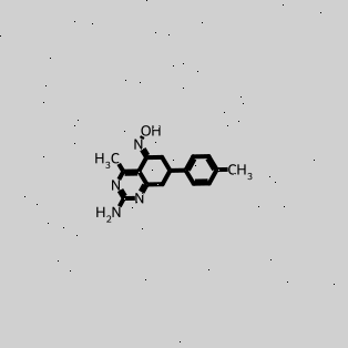 Cc1ccc(C2CC(=NO)c3c(C)nc(N)nc3C2)cc1